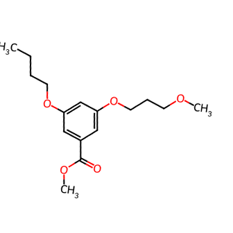 CCCCOc1cc(OCCCOC)cc(C(=O)OC)c1